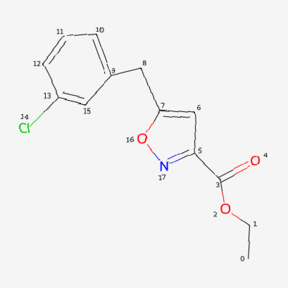 CCOC(=O)c1cc(Cc2cccc(Cl)c2)on1